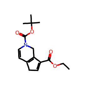 CCOC(=O)C1=CCC2=C1CN(C(=O)OC(C)(C)C)C=C2